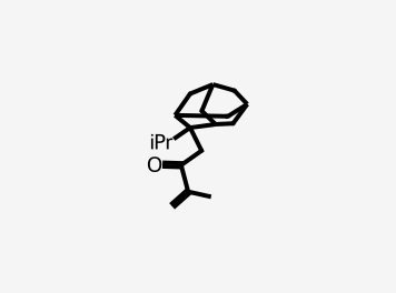 C=C(C)C(=O)CC1(C(C)C)C2CC3CC(C2)CC1C3